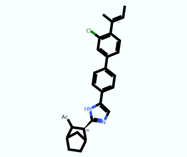 C/C=C(\C)c1ccc(-c2ccc(-c3cnc([C@H]4C5CCC(C5)C4C(C)=O)[nH]3)cc2)cc1Cl